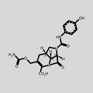 NC(=O)OCC1=C(C(=O)O)N2C(=O)[C@@H]3[C@H]2[C@H](C1)CN3C(=O)Nc1ccc(O)cc1